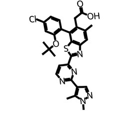 Cc1cc2nc(-c3ccnc(-c4cnn(C)c4C)n3)sc2c(-c2ccc(Cl)cc2OC(C)(C)C)c1CC(=O)O